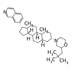 CC(C)(C)CC1CN([C@H]2CC[C@@]3(C)[C@@H](CC[C@@H]4[C@@H]3CC[C@]3(C)[C@@H](c5ccc6ccncc6c5)CC[C@@H]43)C2)CCO1